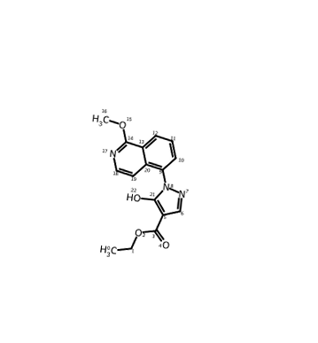 CCOC(=O)c1cnn(-c2cccc3c(OC)nccc23)c1O